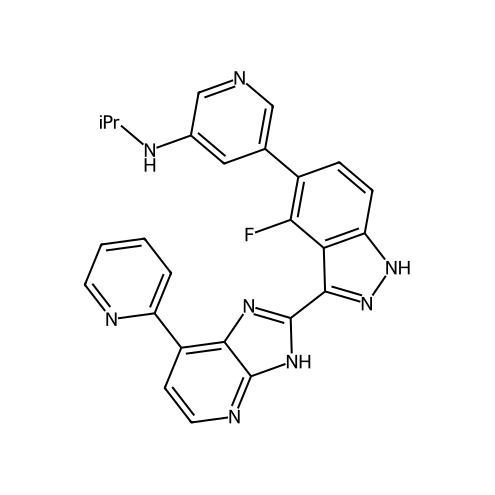 CC(C)Nc1cncc(-c2ccc3[nH]nc(-c4nc5c(-c6ccccn6)ccnc5[nH]4)c3c2F)c1